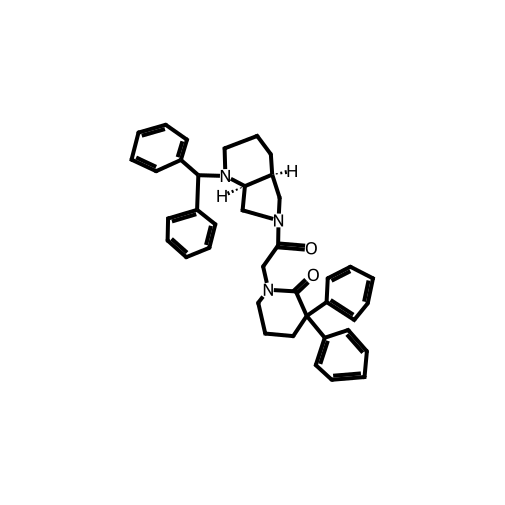 O=C(CN1CCCC(c2ccccc2)(c2ccccc2)C1=O)N1C[C@@H]2CCCN(C(c3ccccc3)c3ccccc3)[C@@H]2C1